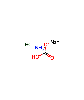 Cl.O=C([O-])O.[NH2].[Na+]